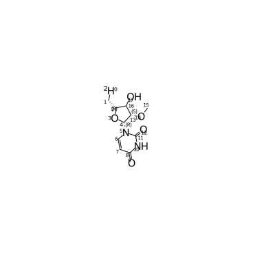 [2H]C[C@H]1O[C@@H](n2ccc(=O)[nH]c2=O)[C@@H](OC)C1O